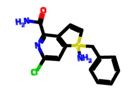 NC(=O)c1nc(Cl)cc2c1C=CS2(N)Cc1ccccc1